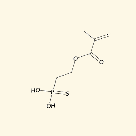 C=C(C)C(=O)OCCP(O)(O)=S